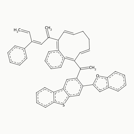 C=C/C(=C\C(=C)C1=c2\cccc\c2=C(C(=C)c2cc3c(cc2-c2cc4ccccc4o2)sc2ccccc23)\C=C\CC\C=C\1)c1ccccc1